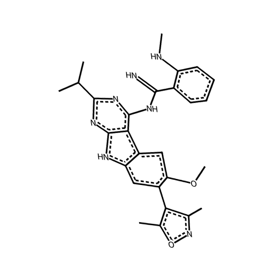 CNc1ccccc1C(=N)Nc1nc(C(C)C)nc2[nH]c3cc(-c4c(C)noc4C)c(OC)cc3c12